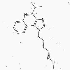 CON=CCCCn1cnc2c(C(C)C)nc3ccccc3c21